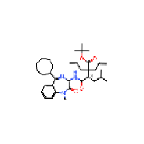 C=CCC(CC=C)(C(=O)OC(C)(C)C)[C@@H](CC(C)C)C(=O)NC1N=C(C2CCCCCC2)c2ccccc2N(C)C1=O